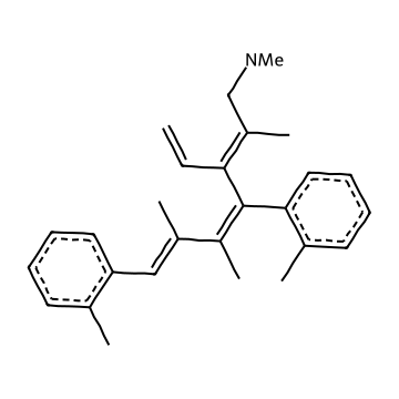 C=CC(/C(=C(C)\C(C)=C\c1ccccc1C)c1ccccc1C)=C(/C)CNC